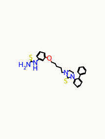 NC(=S)Nc1cccc(OCCCCCN2CCN(c3ccccc3-c3ccccc3)C2=S)c1